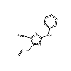 C=CCn1nc(Nc2ccccc2)nc1CCCCC